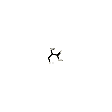 CNC(CC=O)C(=O)OC